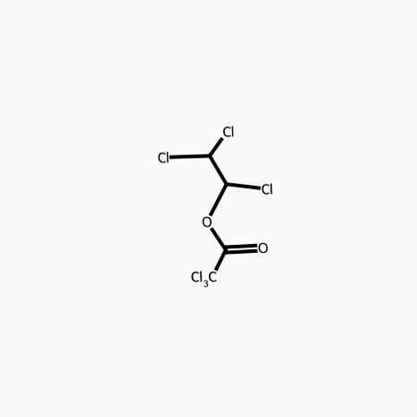 O=C(OC(Cl)C(Cl)Cl)C(Cl)(Cl)Cl